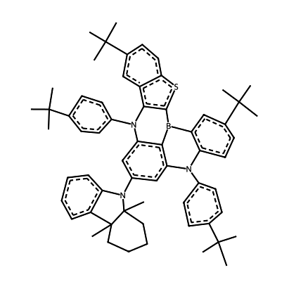 CC(C)(C)c1ccc(N2c3ccc(C(C)(C)C)cc3B3c4sc5ccc(C(C)(C)C)cc5c4N(c4ccc(C(C)(C)C)cc4)c4cc(N5c6ccccc6C6(C)CCCCC56C)cc2c43)cc1